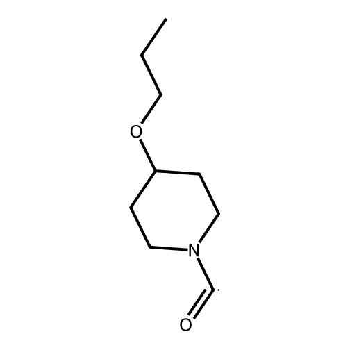 CCCOC1CCN([C]=O)CC1